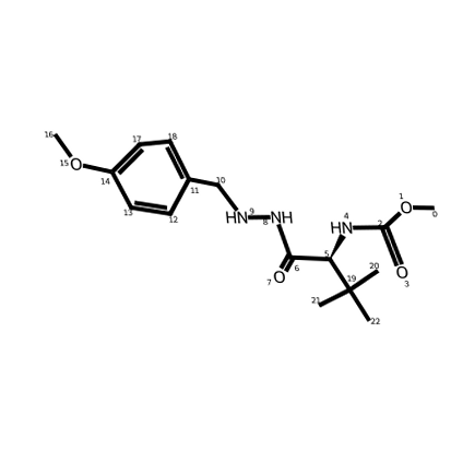 COC(=O)N[C@H](C(=O)NNCc1ccc(OC)cc1)C(C)(C)C